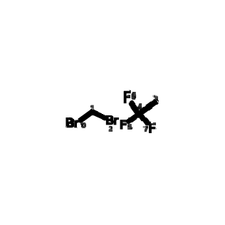 BrCBr.CC(F)(F)F